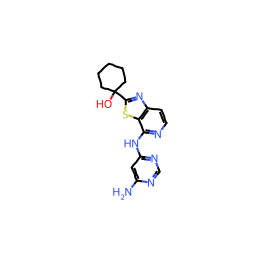 Nc1cc(Nc2nccc3nc(C4(O)CCCCC4)sc23)ncn1